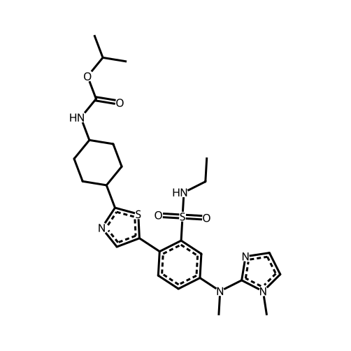 CCNS(=O)(=O)c1cc(N(C)c2nccn2C)ccc1-c1cnc(C2CCC(NC(=O)OC(C)C)CC2)s1